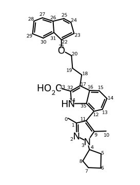 Cc1nn(C2CCCC2)c(C)c1-c1cccc2c(CCCOc3cccc4ccccc34)c(C(=O)O)[nH]c12